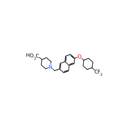 O=C(O)C1CCN(Cc2ccc3cc(OC4CCC(C(F)(F)F)CC4)ccc3c2)CC1